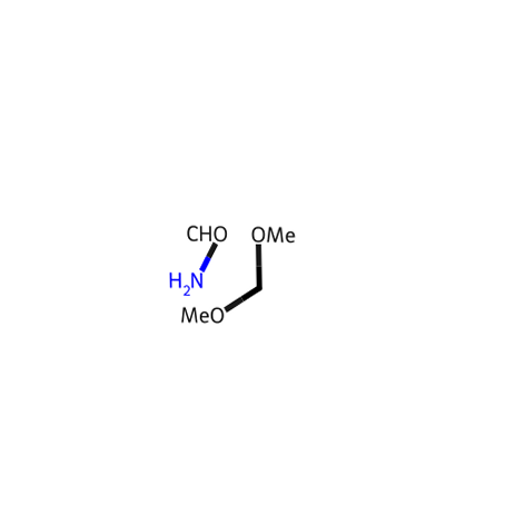 COCOC.NC=O